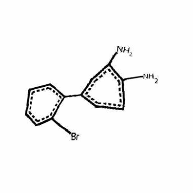 Nc1ccc(-c2ccccc2Br)cc1N